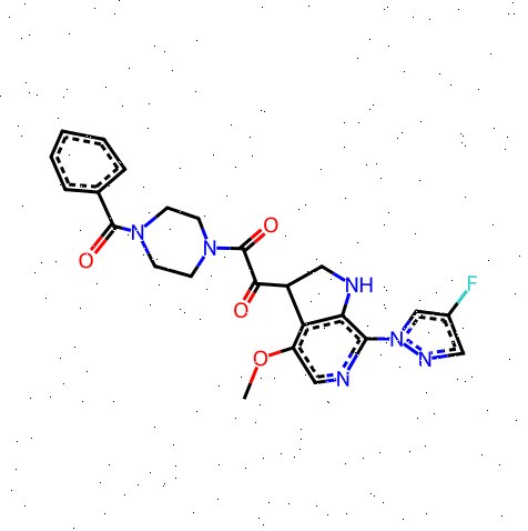 COc1cnc(-n2cc(F)cn2)c2c1C(C(=O)C(=O)N1CCN(C(=O)c3ccccc3)CC1)CN2